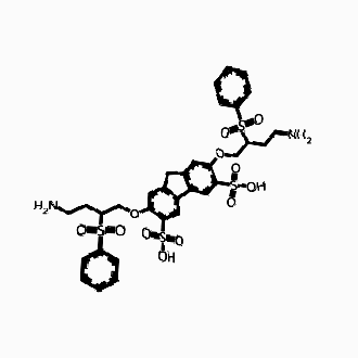 NCCC(COc1cc2c(cc1S(=O)(=O)O)-c1cc(S(=O)(=O)O)c(OCC(CCN)S(=O)(=O)c3ccccc3)cc1C2)S(=O)(=O)c1ccccc1